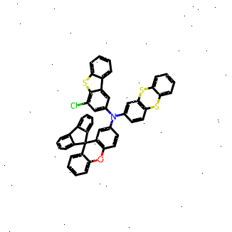 Clc1cc(N(c2ccc3c(c2)Sc2ccccc2S3)c2ccc3c(c2)C2(c4ccccc4O3)c3ccccc3-c3ccccc32)cc2c1sc1ccccc12